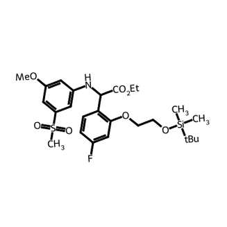 CCOC(=O)C(Nc1cc(OC)cc(S(C)(=O)=O)c1)c1ccc(F)cc1OCCO[Si](C)(C)C(C)(C)C